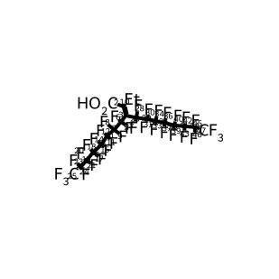 CCC(C(=O)O)=C(C(F)(F)C(F)(F)C(F)(F)C(F)(F)C(F)(F)C(F)(F)C(F)(F)C(F)(F)F)C(F)(F)C(F)(F)C(F)(F)C(F)(F)C(F)(F)C(F)(F)C(F)(F)C(F)(F)F